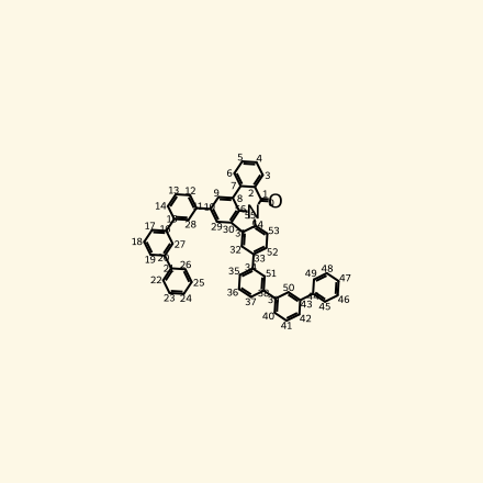 O=c1c2ccccc2c2cc(-c3cccc(-c4cccc(-c5ccccc5)c4)c3)cc3c4cc(-c5cccc(-c6cccc(-c7ccccc7)c6)c5)ccc4n1c23